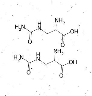 NC(=O)NCC(N)C(=O)O.NC(=O)NC[C@H](N)C(=O)O